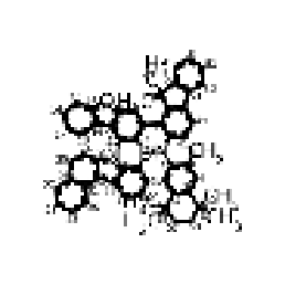 Cc1cc2c(cc1N1B3c4c(cc5oc6ccccc6c5c4-n4c5ccc6ccccc6c5c5cccc3c54)-c3c1ccc1c3C(C)(C)c3ccccc3-1)C(C)(C)CCC2(C)C